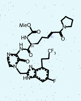 COC(=O)N[C@@H](CC/C=C/C(=O)N1CCCC1)C(=O)Nc1nccn(Cc2nc3c(CCC(F)(F)F)cc(F)cc3[nH]2)c1=O